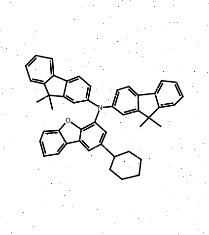 CC1(C)c2ccccc2-c2ccc(N(c3ccc4c(c3)C(C)(C)c3ccccc3-4)c3cc(C4CCCCC4)cc4c3oc3ccccc34)cc21